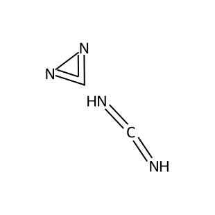 C1=NN=1.N=C=N